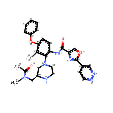 CN(C[C@H]1CN(c2c(NC(=O)c3coc(-c4ccnnc4)n3)ccc(Oc3ccccc3)c2C(F)(F)F)CCN1)C(=O)C(F)(F)F